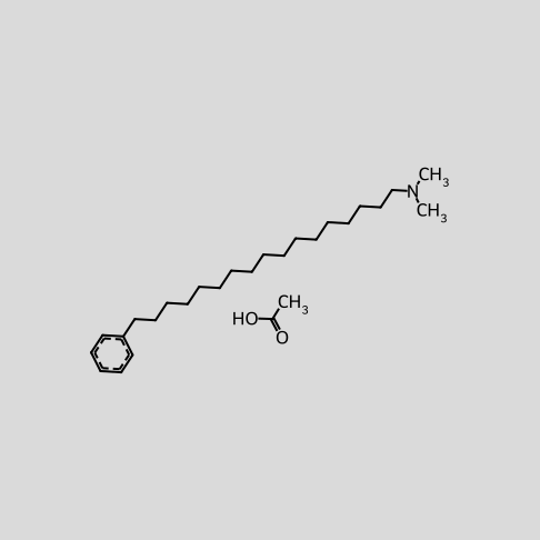 CC(=O)O.CN(C)CCCCCCCCCCCCCCCCCc1ccccc1